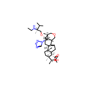 CCN[C@](C)(CO[C@H]1[C@H](n2cnnn2)C[C@@]23COC[C@]1(C)[C@@H]2CC[C@H]1C3=CC[C@@]2(C)[C@H](C(=O)O)[C@@](C)([C@H](C)C(C)C)CC[C@]12C)C(C)C